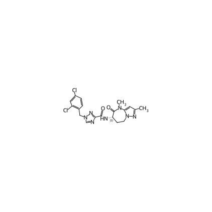 Cc1cc2n(n1)CC[C@H](NC(=O)c1ncn(Cc3ccc(Cl)cc3Cl)n1)C(=O)N2C